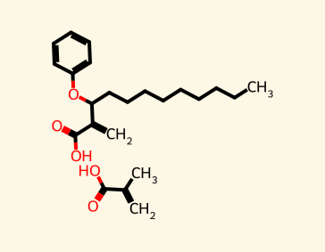 C=C(C(=O)O)C(CCCCCCCCC)Oc1ccccc1.C=C(C)C(=O)O